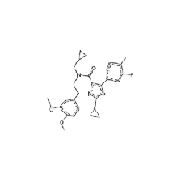 COc1ccc(CCN(CC2CC2)C(=O)c2nc(C3CC3)sc2-c2ccc(C)c(F)c2)cc1OC